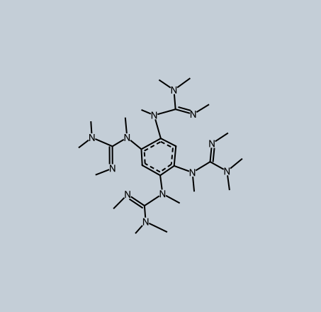 CN=C(N(C)C)N(C)c1cc(N(C)C(=NC)N(C)C)c(N(C)C(=NC)N(C)C)cc1N(C)C(=NC)N(C)C